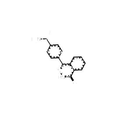 C[C@@H](N)c1ccc(-c2n[nH]c(=O)c3ccccc23)cc1